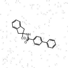 O=C(NC1(C(=O)O)Cc2ccccc2C1)c1ccc(-c2ccccc2)cc1